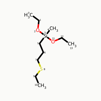 CCO[Si](C)(CCCSCC)OCC